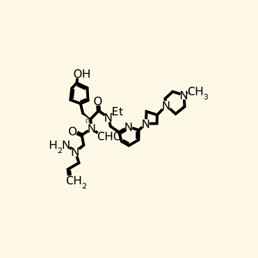 C=CCN(N)CC(=O)N(C=O)[C@@H](Cc1ccc(O)cc1)C(=O)N(CC)Cc1cccc(N2CC(N3CCN(C)CC3)C2)n1